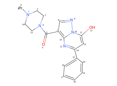 CC(C)N1CCN(C(=O)c2cnn3c(O)cc(-c4ccccc4)nc23)CC1